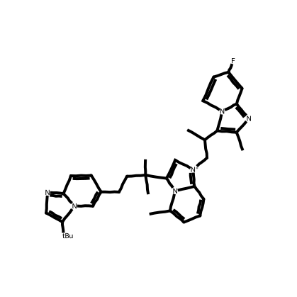 Cc1nc2cc(F)ccn2c1C(C)C[n+]1cc(C(C)(C)CCc2ccc3ncc(C(C)(C)C)n3c2)n2c(C)cccc21